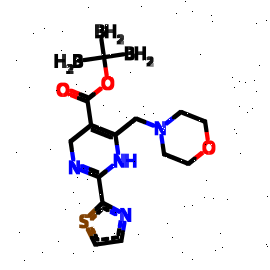 BC(B)(B)OC(=O)C1=C(CN2CCOCC2)NC(c2nccs2)=NC1